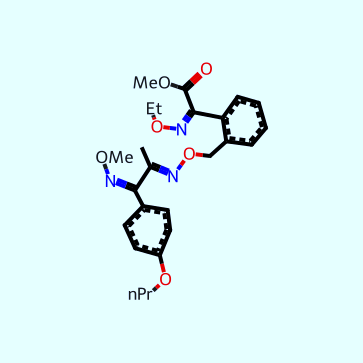 CCCOc1ccc(C(=NOC)C(C)=NOCc2ccccc2C(=NOCC)C(=O)OC)cc1